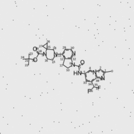 Cc1cn2cc(NC(=O)N3CCc4c(N5CCN(C(=O)OC(C)(C)C)C6(CC6)C5)ccnc43)cc(C(F)F)c2n1